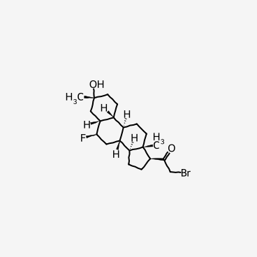 C[C@@]1(O)CC[C@@H]2[C@H]3CC[C@]4(C)[C@@H](C(=O)CBr)CC[C@H]4[C@@H]3C[C@@H](F)[C@@H]2C1